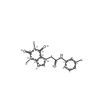 Cc1ccnc(NC(=O)Cn2cnc3c2c(=O)n(C)c(=O)n3C)c1